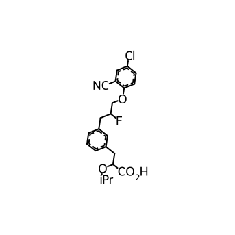 CC(C)OC(Cc1cccc(CC(F)COc2ccc(Cl)cc2C#N)c1)C(=O)O